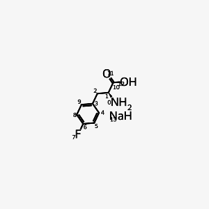 N[C@@H](Cc1ccc(F)cc1)C(=O)O.[NaH]